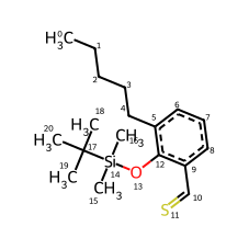 CCCCCc1cccc(C=S)c1O[Si](C)(C)C(C)(C)C